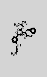 CC(C)OC(=O)N(NC(=O)c1cccc(NC=NN)c1)[C@@H](Cc1ccccc1)C(=O)O